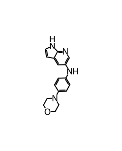 c1cc2cc(Nc3ccc(N4CCOCC4)cc3)cnc2[nH]1